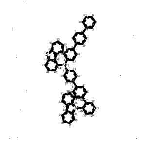 c1ccc(-c2ccc(-c3ccc(N(c4ccc(-c5ccc(-c6ccccc6-n6c7ccccc7c7ccccc76)cc5)cc4)c4cccc5sc6ccccc6c45)cc3)cc2)cc1